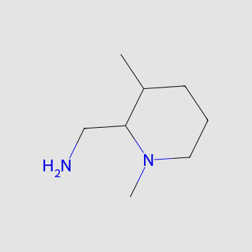 CC1CCCN(C)C1CN